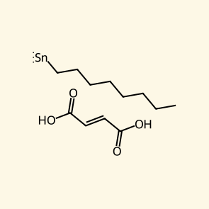 CCCCCCC[CH2][Sn].O=C(O)C=CC(=O)O